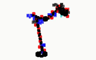 CCCC1O[C@@H]2C[C@H]3[C@@H]4C[C@H](F)C5=CC(=O)C=C[C@]5(C)[C@@]4(F)[C@@H](O)C[C@]3(C)[C@]2(C(=O)COCNC(=O)CNC(=O)OCc2ccc(NC(=O)[C@H](CCCNC(N)=O)NC(=O)[C@@H](NC(=O)CCOCCOCCOCCOCCNC(=O)CCC(=O)N3Cc4ccccc4C#Cc4ccccc43)C(C)C)cc2)O1